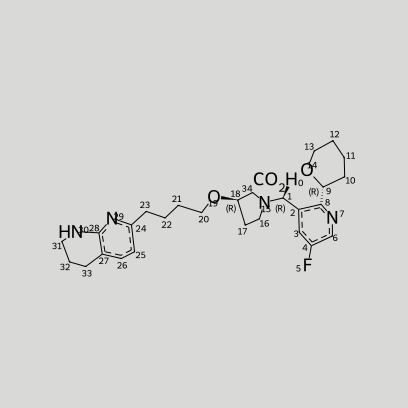 O=C(O)[C@@H](c1cc(F)cnc1[C@H]1CCCCO1)N1CC[C@@H](OCCCCc2ccc3c(n2)NCCC3)C1